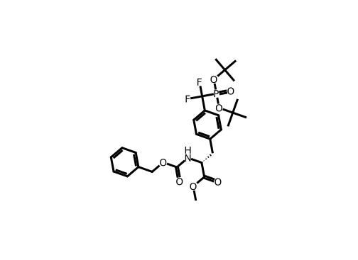 COC(=O)[C@@H](Cc1ccc(C(F)(F)P(=O)(OC(C)(C)C)OC(C)(C)C)cc1)NC(=O)OCc1ccccc1